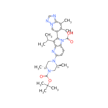 Cc1c(-c2c(C(C)C)c3nc(N4C[C@@H](C)N(C(=O)OC(C)(C)C)C[C@@H]4C)ccc3n2C(=O)O)cn2ncnc2c1C